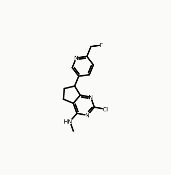 CNc1nc(Cl)nc2c1CCC2c1ccc(CF)nc1